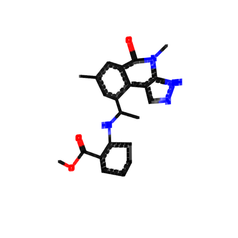 COC(=O)c1ccccc1NC(C)c1cc(C)cc2c(=O)n(C)c3[nH]ncc3c12